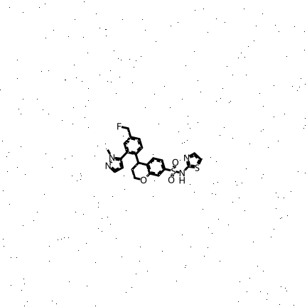 Cn1nccc1-c1cc(CF)ccc1C1CCOc2cc(S(=O)(=O)Nc3nccs3)ccc21